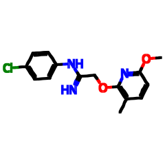 COc1ccc(C)c(OCC(=N)Nc2ccc(Cl)cc2)n1